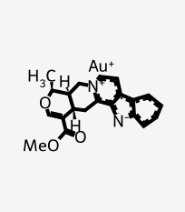 COC(=O)C1=CO[C@@H](C)[C@H]2C[n+]3ccc4c([n-]c5ccccc54)c3C[C@H]12.[Au+]